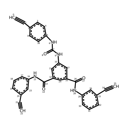 C#Cc1ccc(NC(=O)Nc2cc(C(=O)Nc3cccc(C#C)c3)cc(C(=O)Nc3cccc(C#C)c3)c2)cc1